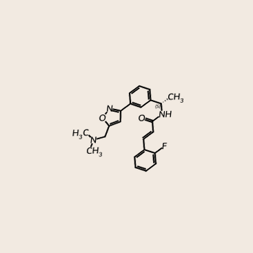 C[C@H](NC(=O)C=Cc1ccccc1F)c1cccc(-c2cc(CN(C)C)on2)c1